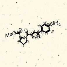 COC(=O)[C@H]1CCCN1C(=O)c1cc(-c2ccc(N)cc2)no1